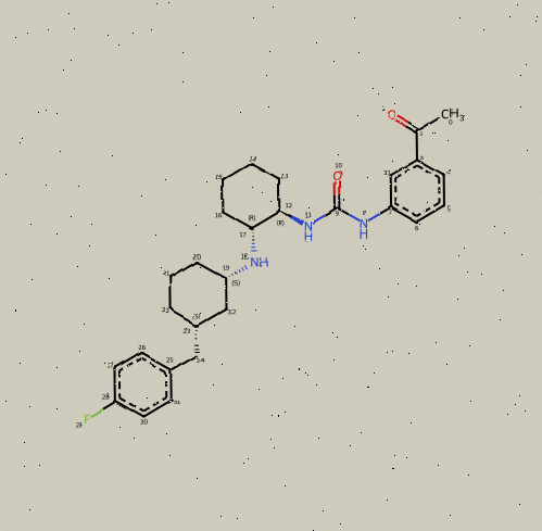 CC(=O)c1cccc(NC(=O)N[C@@H]2CCCC[C@H]2N[C@H]2CCC[C@@H](Cc3ccc(F)cc3)C2)c1